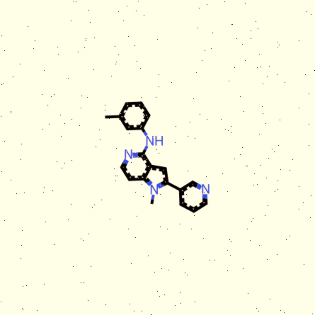 Cc1cccc(Nc2nccc3c2cc(-c2cccnc2)n3C)c1